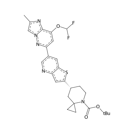 Cc1cn2nc(-c3cnc4cc([C@@H]5CCN(C(=O)OC(C)(C)C)C6(CC6)C5)sc4c3)cc(OC(F)F)c2n1